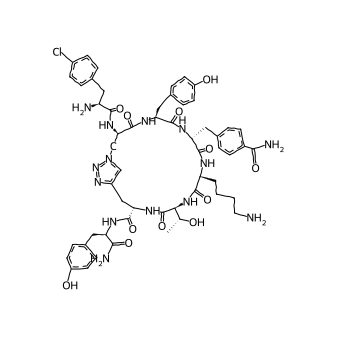 C[C@@H](O)[C@@H]1NC(=O)[C@H](CCCCN)NC(=O)[C@@H](Cc2ccc(C(N)=O)cc2)NC(=O)[C@H](Cc2ccc(O)cc2)NC(=O)[C@H](NC(=O)[C@@H](N)Cc2ccc(Cl)cc2)Cn2cc(nn2)C[C@@H](C(=O)N[C@H](Cc2ccc(O)cc2)C(N)=O)NC1=O